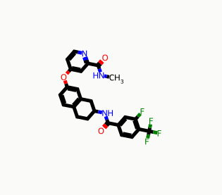 CNC(=O)c1cc(Oc2ccc3c(c2)CC(NC(=O)c2ccc(C(F)(F)F)c(F)c2)CC3)ccn1